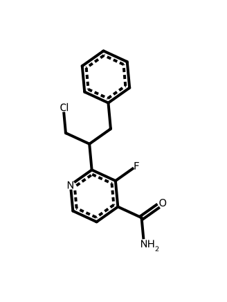 NC(=O)c1ccnc(C(CCl)Cc2ccccc2)c1F